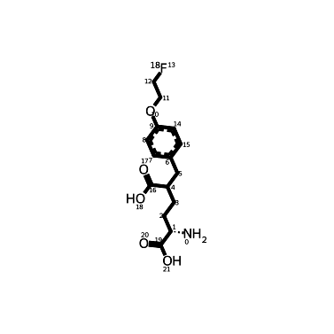 N[C@@H](CCC(Cc1ccc(OCC[18F])cc1)C(=O)O)C(=O)O